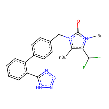 CCCCc1c(C(F)F)n(C(C)CC)c(=O)n1Cc1ccc(-c2ccccc2-c2nnn[nH]2)cc1